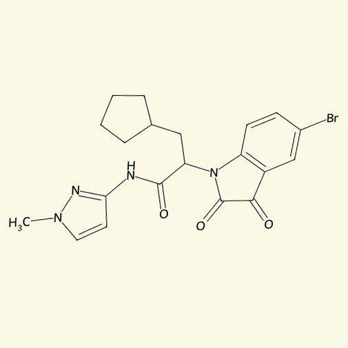 Cn1ccc(NC(=O)C(CC2CCCC2)N2C(=O)C(=O)c3cc(Br)ccc32)n1